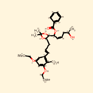 COCOc1cc(/C=C/CC2OC(C)(C)OC2C(/C=C\C[C@@H](C)O)OC(=O)c2ccccc2)c(C(=O)O)c(OCOC)c1